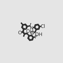 Cc1cc([C@@H](C)Nc2ccc(Cl)cc2C(=O)O)c2oc(-c3cccc(F)c3)c(C)c(=O)c2c1